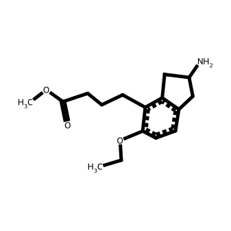 CCOc1ccc2c(c1CCCC(=O)OC)CC(N)C2